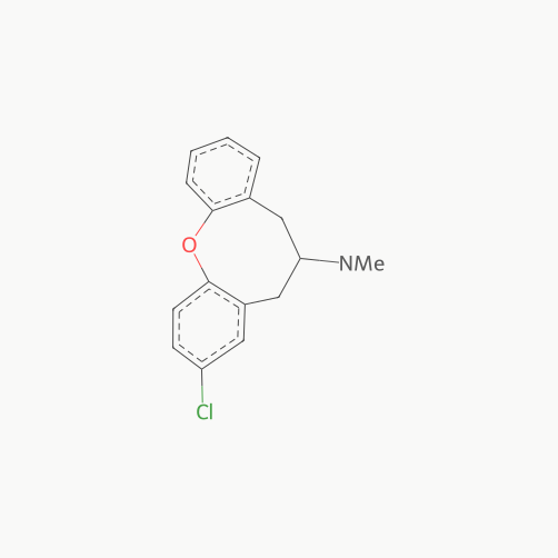 CNC1Cc2ccccc2Oc2ccc(Cl)cc2C1